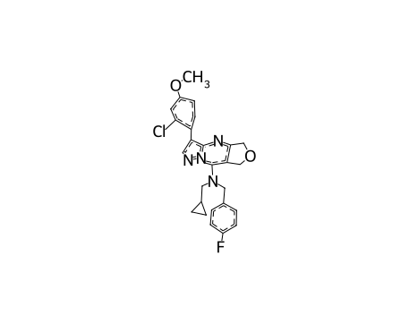 COc1ccc(-c2cnn3c(N(Cc4ccc(F)cc4)CC4CC4)c4c(nc23)COC4)c(Cl)c1